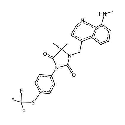 CNc1cccc2c(CN3C(=O)N(c4ccc(SC(F)(F)F)cc4)C(=O)C3(C)C)ccnc12